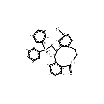 O=C1CCCc2ccc(Br)cc2C(CP(=O)(c2ccccc2)c2ccccc2)Cc2ccccc21